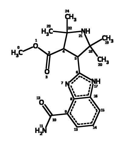 COC(=O)C1C(c2nc3c(C(N)=O)cccc3[nH]2)C(C)(C)NC1(C)C